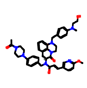 COc1ccc(C=CC(=O)N(Cc2ccc(N3CCN(C(C)=O)CC3)cc2)[C@@H](Cc2ccccc2)C(=O)N2CCN(Cc3ccc(N(C)CCO)cc3)CC2)cn1